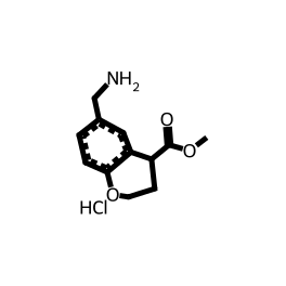 COC(=O)C1CCOc2ccc(CN)cc21.Cl